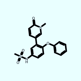 Cn1cc(-c2cc(NS(C)(=O)=O)ccc2Oc2ccccc2)ccc1=O